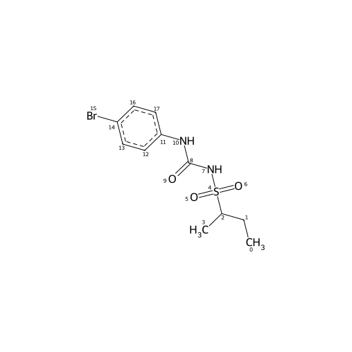 CCC(C)S(=O)(=O)NC(=O)Nc1ccc(Br)cc1